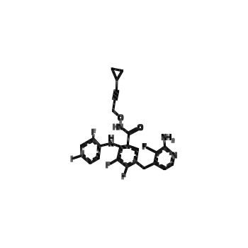 Nc1nccc(Cc2cc(C(=O)NOCC#CC3CC3)c(Nc3ccc(I)cc3F)c(F)c2F)c1F